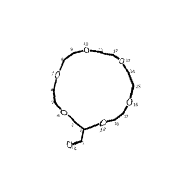 ClCC1COCCOCCOCCOCCOCCO1